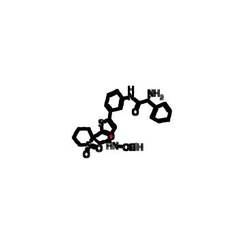 Cl.N[C@@H](C(=O)Nc1cccc(-c2ccc([C@@]3(CC(=O)NO)CCCCS3(=O)=O)s2)c1)c1ccccc1